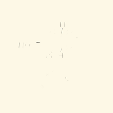 CC1(C)O[C@H]2O[C@H](C(C)(C)O)[C@H](OCc3ccccc3Cl)[C@H]2O1